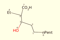 CCCCCCCC(O)C(CC)C(=O)O